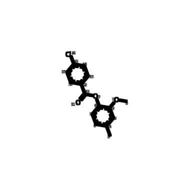 COc1cc(C)ccc1OC(=O)c1ccc(Cl)cc1